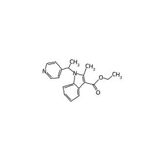 CCOC(=O)c1c(C)n(C(C)c2ccncc2)c2ccccc12